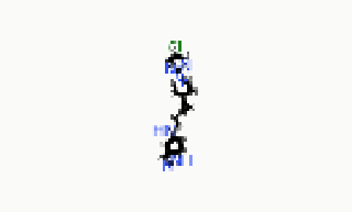 Clc1cnc(N2CCC(C3C[C@H]3CCNc3ccc4[nH]ncc4c3)CC2)nc1